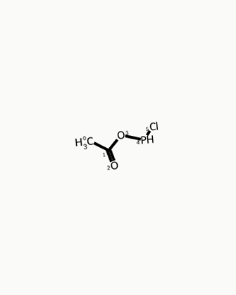 CC(=O)OPCl